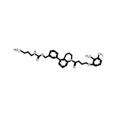 Cc1cccc(OCCCC(=O)N2CCCc3c(-c4cccc(COC(=O)NCCCS(=O)(=O)O)c4)cccc32)c1C